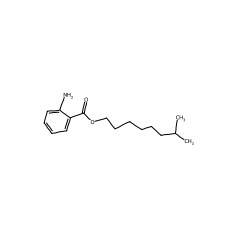 CC(C)CCCCCCOC(=O)c1ccccc1N